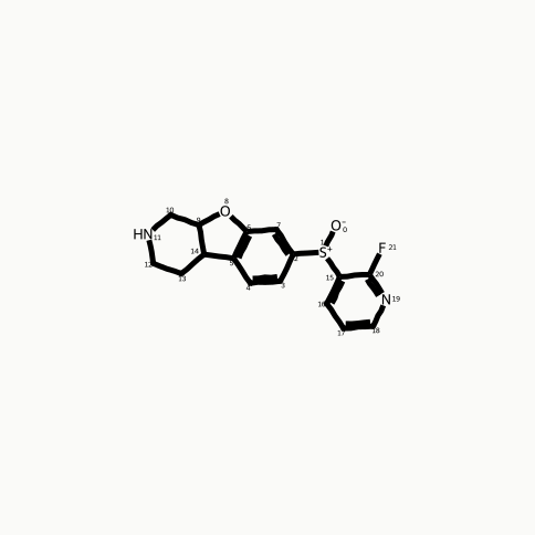 [O-][S+](c1ccc2c(c1)OC1CNCCC21)c1cccnc1F